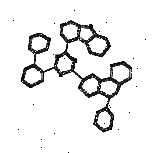 c1ccc(-c2ccccc2-c2nc(-c3ccc4c(-c5ccccc5)cc5ccccc5c4c3)nc(-c3cccc4oc5ccccc5c34)n2)cc1